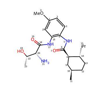 COc1ccc(NC(=O)[C@@H]2C[C@H](C)CC[C@H]2C(C)C)c(NC(=O)[C@H](N)[C@H](C)O)c1